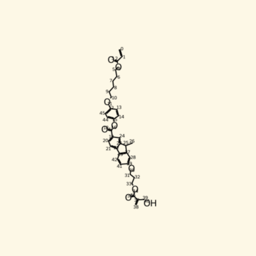 C=CC(=O)OCCCCCCOc1ccc(OC(=O)c2ccc3c(c2)C(C)c2cc(OCCCOC(=O)C(=C)CO)ccc2-3)cc1